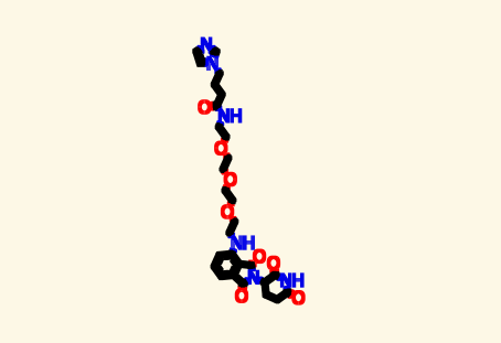 O=C(CCCn1ccnc1)NCCOCCOCCOCCNc1cccc2c1C(=O)N(C1CCC(=O)NC1=O)C2=O